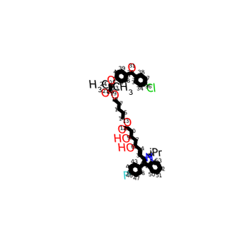 CC(C)n1c(/C=C/C(O)CC(O)CC(=O)OCCCCCOC(=O)C(C)(C)Oc2ccc(C(=O)c3ccc(Cl)cc3)cc2)c(-c2ccc(F)cc2)c2ccccc21